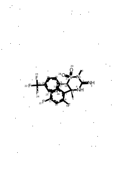 CN1C(=N)N[C@](C)(c2c(F)cc(F)cc2F)[C@@H](c2ccc(C(F)(F)F)cn2)S1(=O)=O